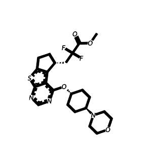 COC(=O)C(F)(F)C[C@H]1CCc2sc3ncnc(O[C@H]4CC[C@H](N5CCOCC5)CC4)c3c21